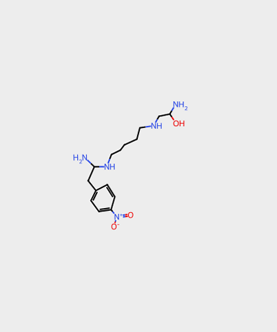 NC(O)CNCCCCCNC(N)Cc1ccc([N+](=O)[O-])cc1